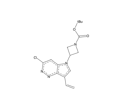 C=Cc1cn(C2CN(C(=O)OC(C)(C)C)C2)c2cc(Cl)nnc12